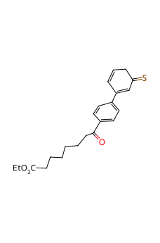 CCOC(=O)CCCCCCC(=O)c1ccc(C2=CC(=S)CC=C2)cc1